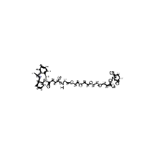 C/C1=C\c2ccccc2N(C(=O)CCC(=O)NCCOCCOCCOCCOCCC(=O)ON2C(=O)CCC2=O)Cc2ccccc21